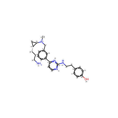 CCN(Cc1cccc(-c2ccnc(NCCc3ccc(O)cc3)n2)c1)C1C[C@H]1CCCN